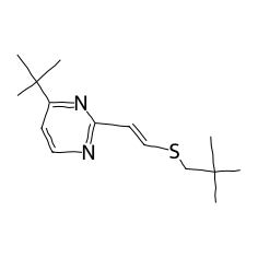 CC(C)(C)CS/C=C/c1nccc(C(C)(C)C)n1